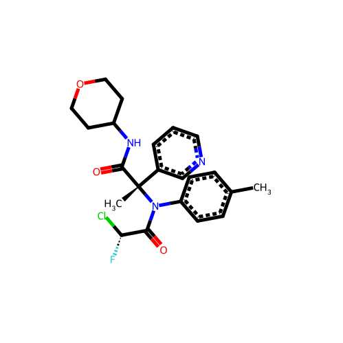 Cc1ccc(N(C(=O)[C@H](F)Cl)[C@](C)(C(=O)NC2CCOCC2)c2cccnc2)cc1